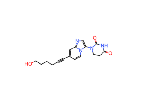 O=C1CCN(c2cnc3cc(C#CCCCCO)ccn23)C(=O)N1